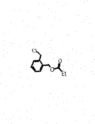 CCC(=O)OCc1ccccc1CCl